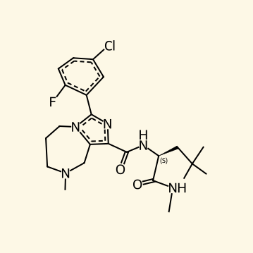 CNC(=O)[C@H](CC(C)(C)C)NC(=O)c1nc(-c2cc(Cl)ccc2F)n2c1CN(C)CCC2